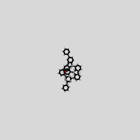 c1ccc(-c2ccc3c(c2)c2ccccc2n3-c2cccc3c4cccc(-c5nc(-c6ccccc6)nc(-c6ccccc6)n5)c4n(-c4ccccc4)c23)cc1